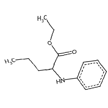 CCCC(Nc1ccccc1)C(=O)OCC